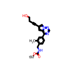 Cc1cc(-c2ncnn3cc(C#CCCO)cc23)ccc1CNC(=O)OC(C)(C)C